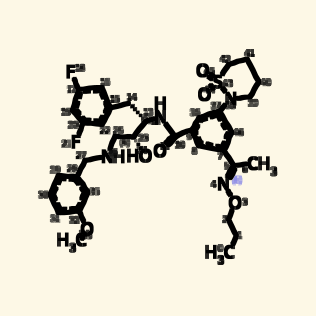 CCCO/N=C(\C)c1cc(C(=O)N[C@@H](Cc2cc(F)cc(F)c2)[C@H](O)CNCc2cccc(OC)c2)cc(N2CCCCS2(=O)=O)c1